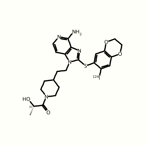 C[C@H](O)C(=O)N1CCC(CCn2c(Sc3cc4c(cc3[124I])OCCO4)nc3c(N)nccc32)CC1